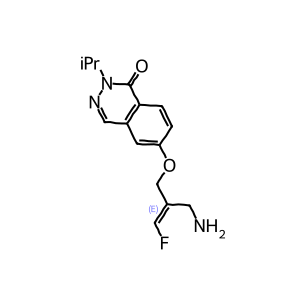 CC(C)n1ncc2cc(OC/C(=C/F)CN)ccc2c1=O